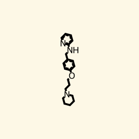 c1ccc(NCc2ccc(OCCCN3CCCCC3)cc2)nc1